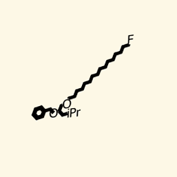 CC(C)CC(COCCCCCCCCCCCCCCCCF)OCc1ccccc1